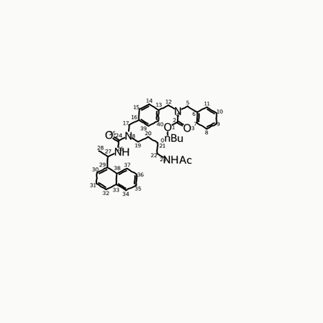 CCCCOC(=O)N(Cc1ccccc1)Cc1ccc(CN(CCCCNC(C)=O)C(=O)NC(C)c2cccc3ccccc23)cc1